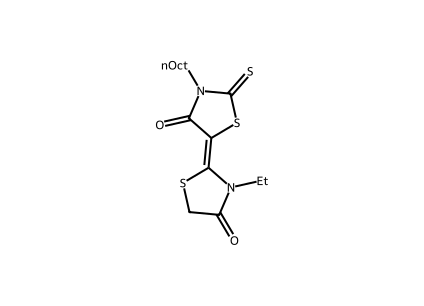 CCCCCCCCN1C(=O)/C(=C2\SCC(=O)N2CC)SC1=S